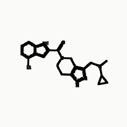 CCc1cccc2[nH]c(C(=O)N3CCc4[nH]nc(CN(C)C5CC5)c4C3)cc12